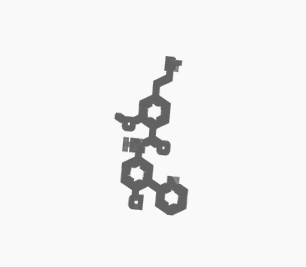 COc1cc(CCBr)ccc1C(=O)Nc1ccc(Cl)c(-c2ccccn2)c1